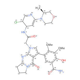 COc1c(-c2cn(CC(=O)NC3C=C(N4CCOC[C@@H]4C)N=CC3Cl)c3nc4n(c(=O)c23)CCC4)cc(C(N)=O)c(O)c1OC